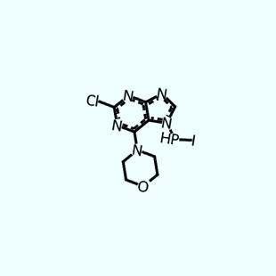 Clc1nc(N2CCOCC2)c2c(ncn2PI)n1